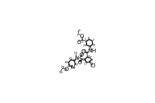 CCOC(=O)c1cccc(NC(=O)c2sc(Cl)cc2S(=O)(=O)N(C)c2ccc(OCC)nc2)c1